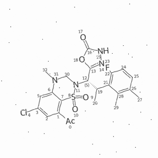 CC(=O)c1cc(Cl)cc2c1S(=O)(=O)N([C@H](c1n[nH]c(=O)o1)C(C)c1c(F)ccc(C)c1C)CN2C